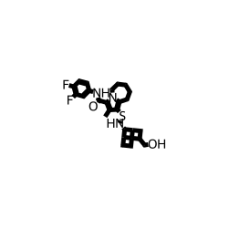 Cc1c(SNC2C3CCC34C(CO)CC24)c2n(c1C(=O)Nc1ccc(F)c(F)c1)CCCCC2